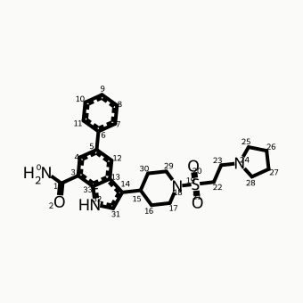 NC(=O)c1cc(-c2ccccc2)cc2c(C3CCN(S(=O)(=O)CCN4CCCC4)CC3)c[nH]c12